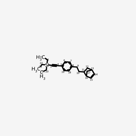 CC[Si](C#Cc1ccc(CCC2CC3C=CC2C3)cc1)(CC)CC